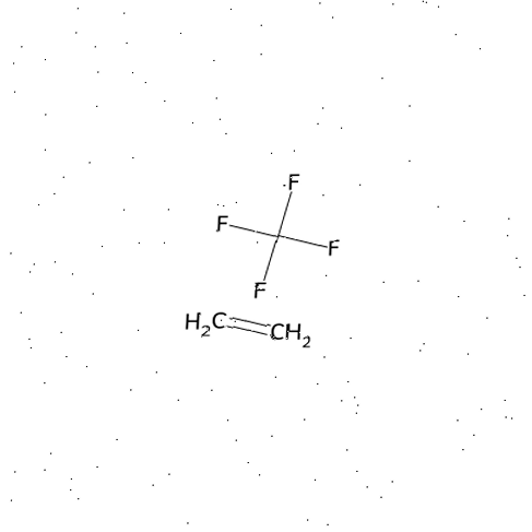 C=C.FC(F)(F)F